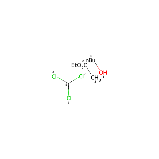 CCCCO.CCOC(C)=O.ClC(Cl)Cl